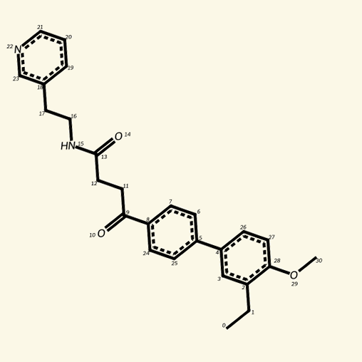 CCc1cc(-c2ccc(C(=O)CCC(=O)NCCc3cccnc3)cc2)ccc1OC